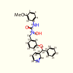 COc1cccc(NC(=O)N(O)Cc2cccc(OC(c3ccccc3)c3cccnc3)c2)c1